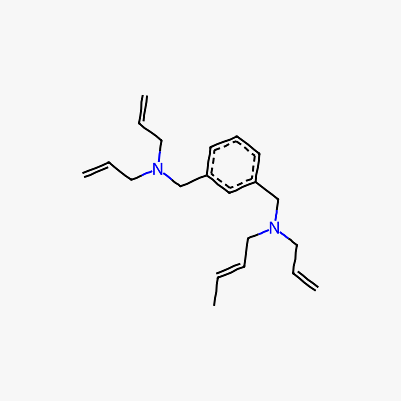 C=CCN(CC=C)Cc1cccc(CN(CC=C)C/C=C/C)c1